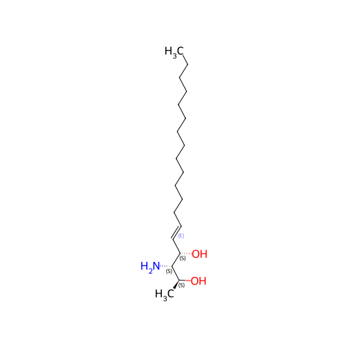 CCCCCCCCCCCCC/C=C/[C@H](O)[C@@H](N)[C@H](C)O